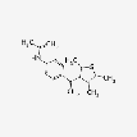 C=C(C)Nc1ccc(C(=C)C2C(C)SC(C)C2C)cc1